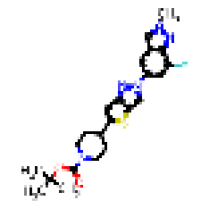 Cn1cc2cc(-n3cc4sc(C5CCN(C(=O)OC(C)(C)C)CC5)cc4n3)cc(F)c2n1